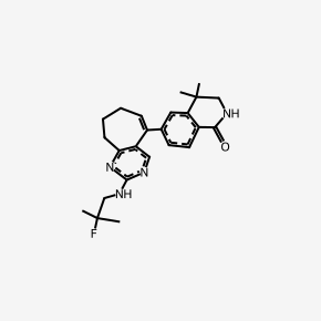 CC(C)(F)CNc1ncc2c(n1)CCCC=C2c1ccc2c(c1)C(C)(C)CNC2=O